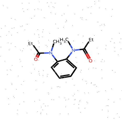 CCC(=O)N(C)c1ccccc1N(C)C(=O)CC